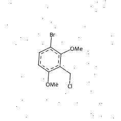 COc1ccc(Br)c(OC)c1CCl